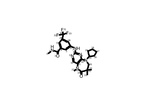 CNC(=O)c1cc(Nc2ncc3c(n2)N(C2CCCC2)CC(C)(C)C(=O)N3C)cc(C(F)(F)F)c1